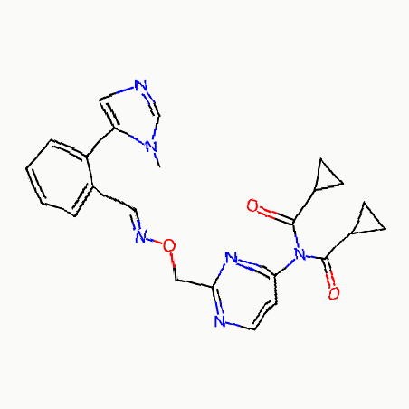 Cn1cncc1-c1ccccc1C=NOCc1nccc(N(C(=O)C2CC2)C(=O)C2CC2)n1